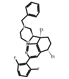 CC[C@H]1CC[C@](CC)([C@@H]2CN(Cc3ccccc3)CCO2)c2nnc(-c3c(F)cccc3F)cc21